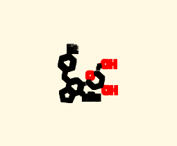 CCCCc1c([C@H]2C[C@@H](O)C[C@@H](CO)O2)cc(Cc2ccc(CC)cc2)c2c1CCC2